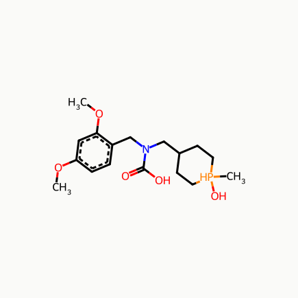 COc1ccc(CN(CC2CC[PH](C)(O)CC2)C(=O)O)c(OC)c1